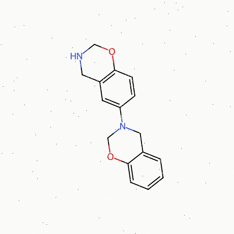 c1ccc2c(c1)CN(c1ccc3c(c1)CNCO3)CO2